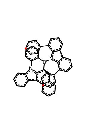 c1ccc(-c2cccc3c4cccc(-c5ccccc5)c4n(B4c5ccccc5-n5c6ccccc6c6c7ccccc7cc4c65)c23)cc1